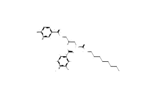 CCCCCCCCOC(=O)NCC(COC(=O)c1ccc(O)c(O)c1)OC(=O)c1ccc(O)c(O)c1